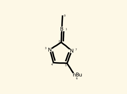 CB=C1N=CC(CCCC)=N1